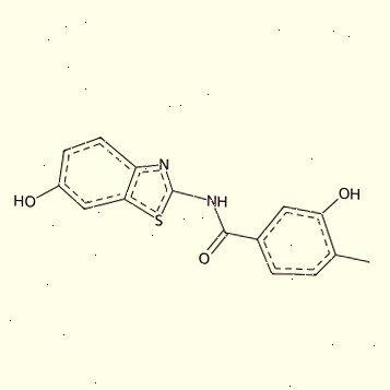 Cc1ccc(C(=O)Nc2nc3ccc(O)cc3s2)cc1O